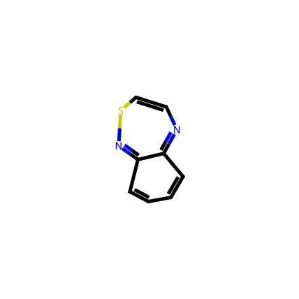 C1=CSN=c2ccccc2=N1